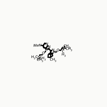 CNc1cnc2nc(-c3nn(COCC[Si](C)(C)C)c4c3C3CC(C)(C4)C3)n(COCC[Si](C)(C)C)c2c1